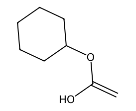 C=C(O)OC1CCCCC1